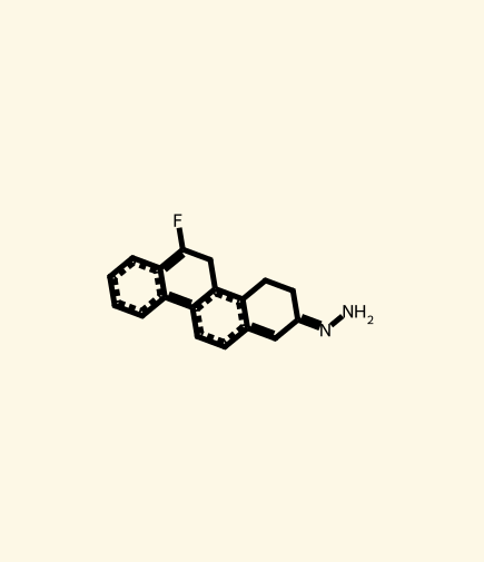 N/N=C1/C=c2ccc3c(c2CC1)CC(F)=c1ccccc1=3